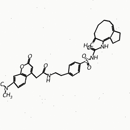 C=C1CCCC/C=C2/CCC/C2=C/1NC(=O)NS(=O)(=O)c1ccc(CCNC(=O)Cc2cc(=O)oc3cc(N(C)C)ccc23)cc1